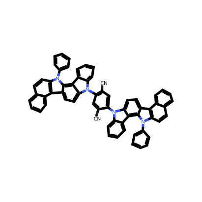 N#Cc1cc(-n2c3ccccc3c3c2ccc2c4c5ccccc5ccc4n(-c4ccccc4)c23)c(C#N)cc1-n1c2ccccc2c2c1ccc1c3c4ccccc4ccc3n(-c3ccccc3)c12